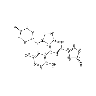 C[C@H]1CC[C@H](Cn2cnc3nc(-c4noc(=O)[nH]4)nc(-c4cc(Cl)cnc4O)c32)CC1